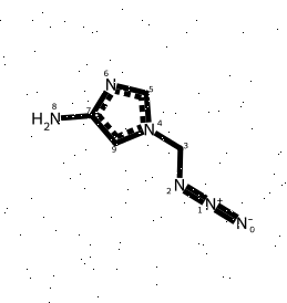 [N-]=[N+]=NCn1cnc(N)c1